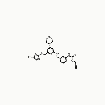 C#CCOC(=O)Nc1cccc(CNc2cc(N3CCOCC3)cc(CSc3nnc(CC)s3)n2)c1